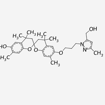 Cc1cc(CO)n(CCCOc2cc3c(cc2C)OC2(CC(C)(C)c4cc(O)c(C)cc4O2)CC3(C)C)n1